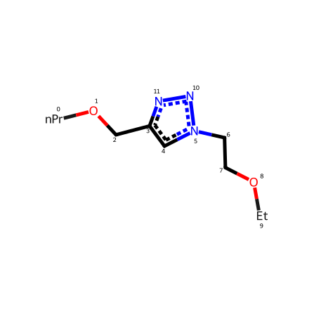 CCCOCc1cn(CCOCC)nn1